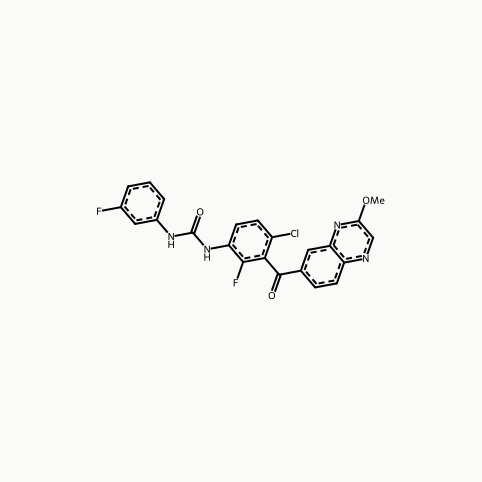 COc1cnc2ccc(C(=O)c3c(Cl)ccc(NC(=O)Nc4cccc(F)c4)c3F)cc2n1